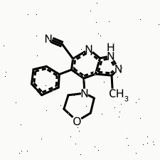 Cc1n[nH]c2nc(C#N)c(-c3ccccc3)c(N3CCOCC3)c12